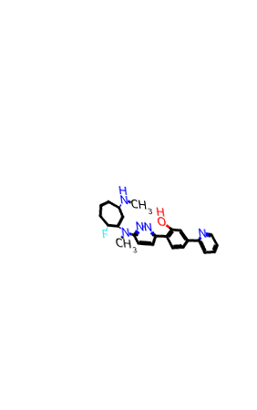 CN[C@H]1CCC[C@@H](F)[C@@H](N(C)c2ccc(-c3ccc(-c4ccccn4)cc3O)nn2)C1